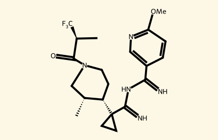 COc1ccc(C(=N)NC(=N)C2([C@H]3CCN(C(=O)[C@H](C)C(F)(F)F)C[C@H]3C)CC2)cn1